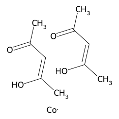 CC(=O)/C=C(/C)O.CC(=O)/C=C(/C)O.[Co]